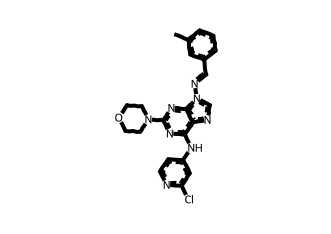 Cc1cccc(C=Nn2cnc3c(Nc4ccnc(Cl)c4)nc(N4CCOCC4)nc32)c1